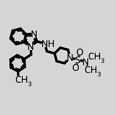 Cc1cccc(Cn2c(NCC3CCN(S(=O)(=O)N(C)C)CC3)nc3ccccc32)c1